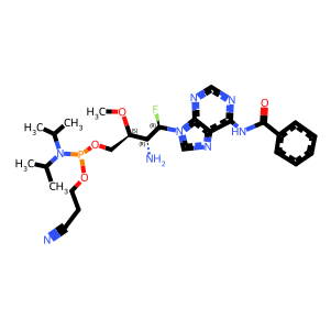 CO[C@H](COP(OCCC#N)N(C(C)C)C(C)C)[C@@H](N)[C@@H](F)n1cnc2c(NC(=O)c3ccccc3)ncnc21